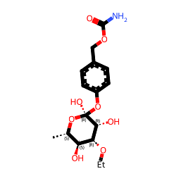 CCO[C@@H]1[C@@H](O)[C@H](C)O[C@@](O)(Oc2ccc(COC(N)=O)cc2)[C@@H]1O